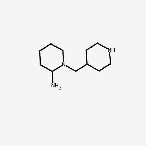 NC1CCCCN1CC1CCNCC1